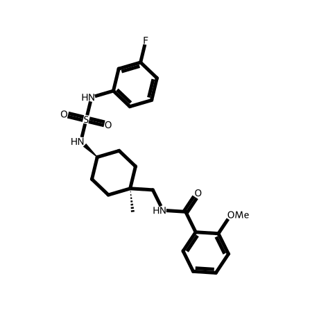 COc1ccccc1C(=O)NC[C@]1(C)CC[C@H](NS(=O)(=O)Nc2cccc(F)c2)CC1